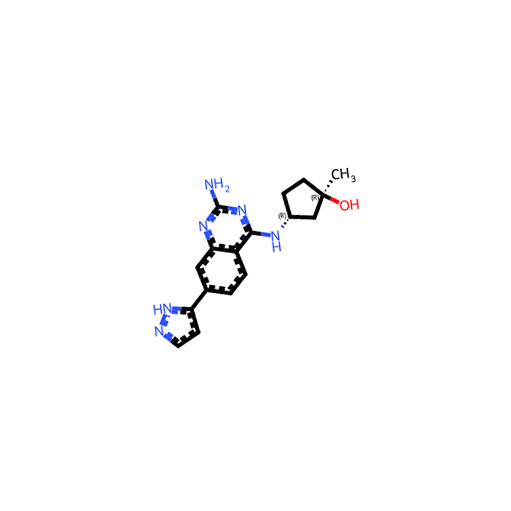 C[C@@]1(O)CC[C@@H](Nc2nc(N)nc3cc(-c4ccn[nH]4)ccc23)C1